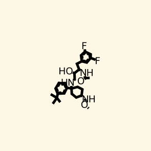 CONC1CCC(NCC(O)C(Cc2cc(F)cc(F)c2)NC(C)=O)(c2cccc(C(C)(C)C)c2)CC1